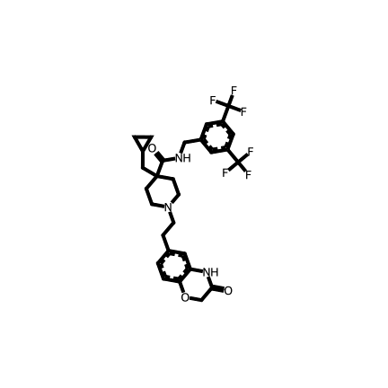 O=C1COc2ccc(CCN3CCC(CC4CC4)(C(=O)NCc4cc(C(F)(F)F)cc(C(F)(F)F)c4)CC3)cc2N1